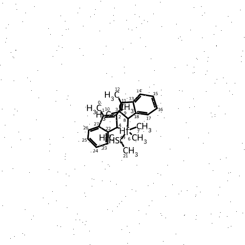 CC1=C(C)[CH]([Hf]([CH3])([CH3])([CH]2C(C)=C(C)c3ccccc32)[SiH](C)C)c2ccccc21